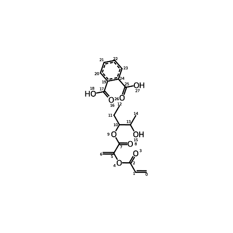 C=CC(=O)OC(=C)C(=O)OC(CC)C(C)O.O=C(O)c1ccccc1C(=O)O